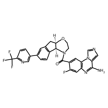 Nc1nc2cc(F)c(C(=O)N3CCO[C@@H]4Cc5cc(-c6ccc(C(F)(F)F)nc6)ccc5[C@@H]43)cc2n2cncc12